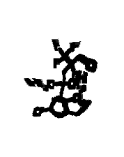 CC(C)(CC(O)(C=O)C(F)(F)F)c1cc(Cl)cc2c1OCC2